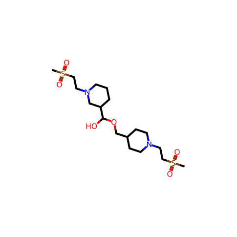 CS(=O)(=O)CCN1CCC(COC(O)C2CCCN(CCS(C)(=O)=O)C2)CC1